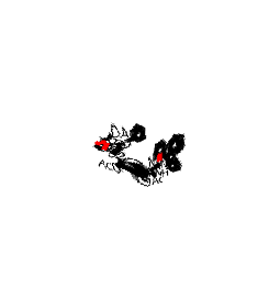 CC(=O)OCC1O[C@@H](OP(=O)(CP(=O)(OCc2ccccc2)OC[C@H]2O[C@@H](n3cnc4c(NC(c5ccccc5)(c5ccccc5)c5ccccc5)ncnc43)[C@@H](OC(C)=O)C2OC(C)=O)OCc2ccccc2)C(OC(C)=O)[C@@H](C)[C@@H]1C